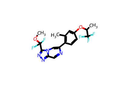 COC(F)(F)c1nnc2cnc(-c3ccc(OC(C)C(F)(F)F)cc3C)cn12